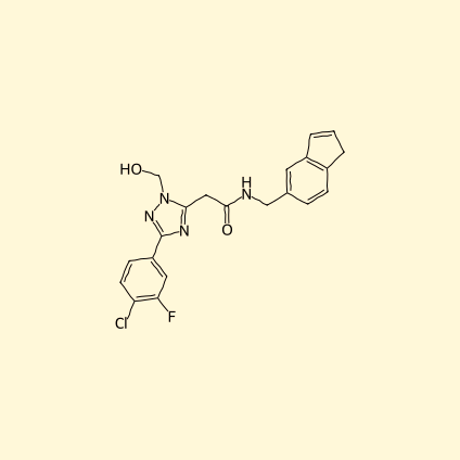 O=C(Cc1nc(-c2ccc(Cl)c(F)c2)nn1CO)NCc1ccc2c(c1)C=CC2